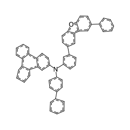 c1ccc(-c2ccc(N(c3cccc(-c4ccc5oc6ccc(-c7ccccc7)cc6c5c4)c3)c3ccc4c5ccccc5c5ccccc5c4c3)cc2)cc1